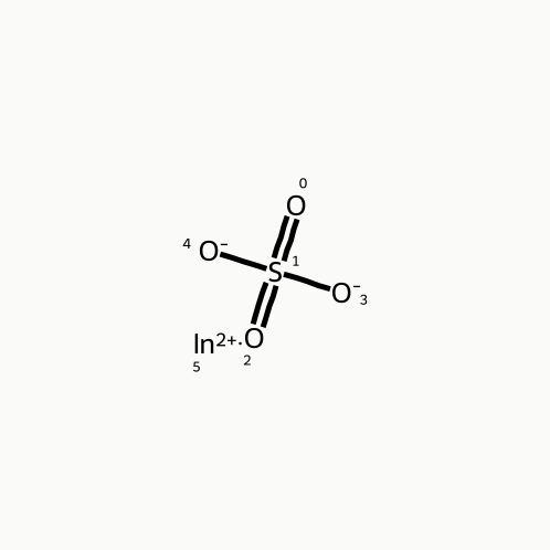 O=S(=O)([O-])[O-].[In+2]